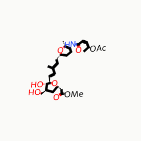 COC(=O)C[C@@H]1C[C@@H](CO)[C@H](O)[C@@H](/C=C/C(C)=C/C[C@H]2CC[C@@H](NC(=O)/C=C\[C@H](C)OC(C)=O)[C@@H](C)O2)O1